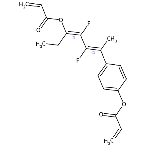 C=CC(=O)O/C(CC)=C(F)/C(F)=C(\C)c1ccc(OC(=O)C=C)cc1